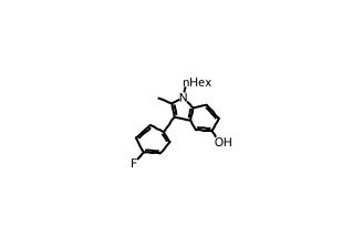 CCCCCCn1c(C)c(-c2ccc(F)cc2)c2cc(O)ccc21